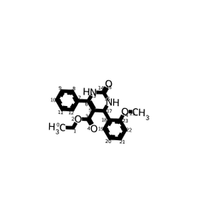 CCOC(=O)C1=C(c2ccccc2)NC(=O)NC1c1ccccc1OC